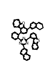 C1=Cc2ccc(-c3ccc(-c4ccccc4-c4nc(-c5ccc6ccccc6c5)nc(-c5cccc6sc7ccccc7c56)n4)c4c3oc3ccccc34)cc2CC1